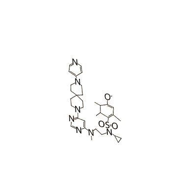 COC1=CC(C)=C(S(=O)(=O)N(CCN(C)c2cc(N3CCC4(CCN(c5ccncc5)CC4)CC3)ncn2)C2CC2)C(C)C1C